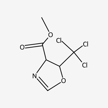 COC(=O)C1N=COC1C(Cl)(Cl)Cl